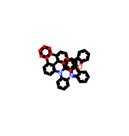 c1ccc(-c2ccccc2-c2c(-c3ccccc3)cccc2N(c2ccc3c(c2)oc2ccccc23)c2ccccc2-n2c3ccccc3c3ccccc32)cc1